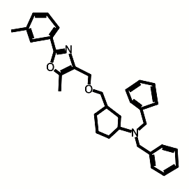 Cc1cccc(-c2nc(COCC3CCCC(N(Cc4ccccc4)Cc4ccccc4)C3)c(C)o2)c1